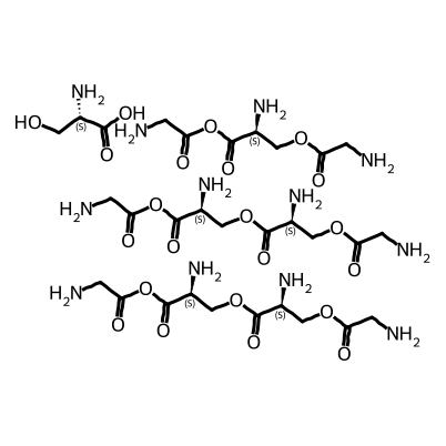 NCC(=O)OC[C@H](N)C(=O)OC(=O)CN.NCC(=O)OC[C@H](N)C(=O)OC[C@H](N)C(=O)OC(=O)CN.NCC(=O)OC[C@H](N)C(=O)OC[C@H](N)C(=O)OC(=O)CN.N[C@@H](CO)C(=O)O